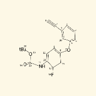 C#Cc1cccc(OC2=CC=C(NC(=O)OC(C)(C)C)C(F)C2)c1